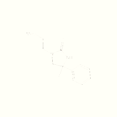 COCCN1CC(C(C)=O)(c2ccccc2)NC1=O